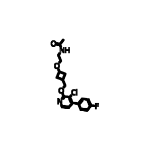 CC(=O)NCCOC1CC(COc2nccc(-c3ccc(F)cc3)c2Cl)C1